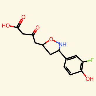 O=C(O)CC(=O)CC1CC(c2ccc(O)c(F)c2)NO1